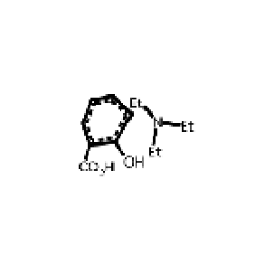 CCN(CC)CC.O=C(O)c1ccccc1O